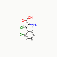 N[C@H](C(=O)O)C(Cl)c1ccccc1Cl